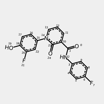 O=C(Nc1ccc(F)cc1)c1cccn(-c2ccc(O)c(F)c2)c1=O